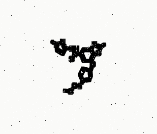 COOSc1ccc(Oc2cc(C(=O)Nc3ccn(C)n3)cc3nc(C)oc23)cc1